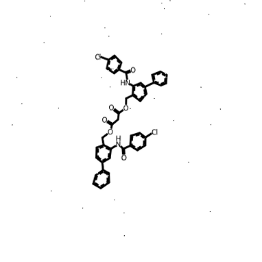 O=C(CC(=O)OCc1ccc(-c2ccccc2)cc1NC(=O)c1ccc(Cl)cc1)OCc1ccc(-c2ccccc2)cc1NC(=O)c1ccc(Cl)cc1